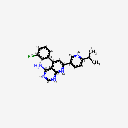 CC(C)c1ccc(-c2cc(-c3cccc(Br)c3)c3c(N)ncnc3n2)cn1